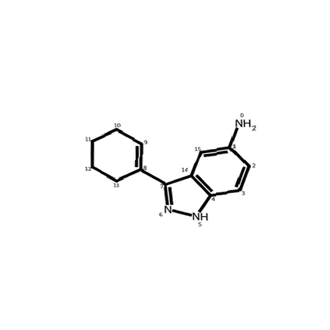 Nc1ccc2[nH]nc(C3=CCCCC3)c2c1